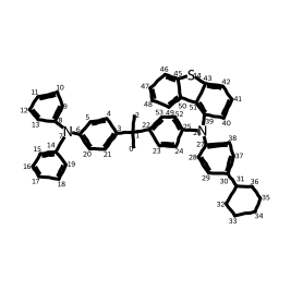 CC(C)(c1ccc(N(c2ccccc2)c2ccccc2)cc1)c1ccc(N(c2ccc(C3CCCCC3)cc2)c2cccc3sc4ccccc4c23)cc1